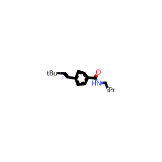 CC(C)CNC(=O)c1ccc(/C=C/C(C)(C)C)cc1